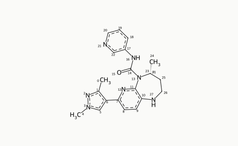 Cc1nn(C)cc1-c1ccc2c(n1)N(C(=O)Nc1cccnc1)[C@H](C)CCN2